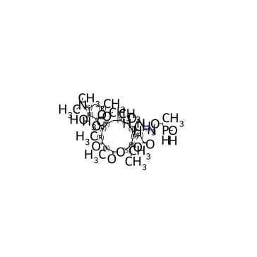 CC[C@@H]1OC(=O)[C@H](C)C(=O)[C@H](C)[C@@H](OC2O[C@H](C)C[C@H](N(C)C)[C@H]2O)[C@](C)(OC)C[C@@H](C)C(=O)[C@H](C)[C@H]2[C@H](/C(N)=N/OC(C)PO)C(=O)O[C@]21C